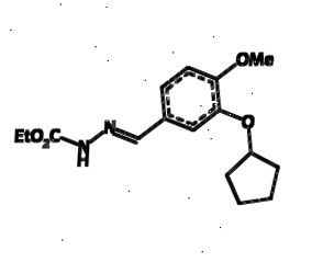 CCOC(=O)N/N=C/c1ccc(OC)c(OC2CCCC2)c1